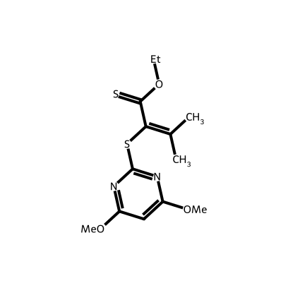 CCOC(=S)C(Sc1nc(OC)cc(OC)n1)=C(C)C